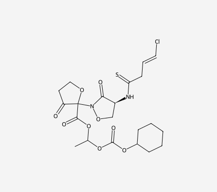 CC(OC(=O)OC1CCCCC1)OC(=O)C1(N2OC[C@H](NC(=S)CC=CCl)C2=O)OCCC1=O